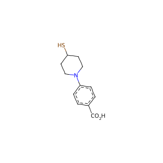 O=C(O)c1ccc(N2CCC(S)CC2)cc1